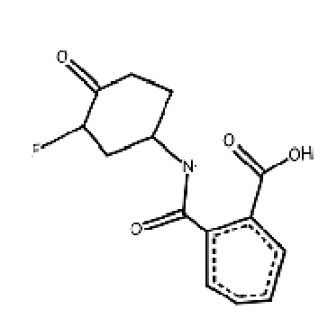 O=C(O)c1ccccc1C(=O)[N]C1CCC(=O)C(F)C1